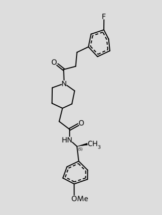 COc1ccc([C@H](C)NC(=O)CC2CCN(C(=O)CCc3cccc(F)c3)CC2)cc1